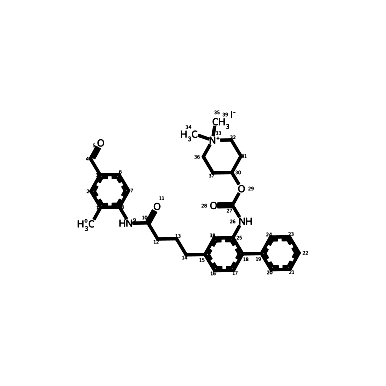 Cc1cc(C=O)ccc1NC(=O)CCCc1ccc(-c2ccccc2)c(NC(=O)OC2CC[N+](C)(C)CC2)c1.[I-]